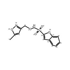 Cc1cc(CONS(=O)(=O)c2cc3ccccc3o2)no1